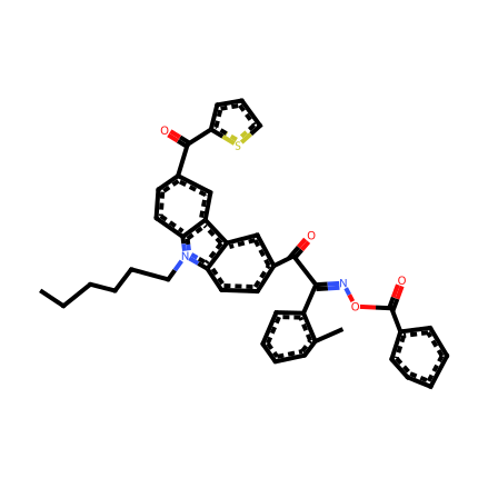 CCCCCCn1c2ccc(C(=O)/C(=N/OC(=O)c3ccccc3)c3ccccc3C)cc2c2cc(C(=O)c3cccs3)ccc21